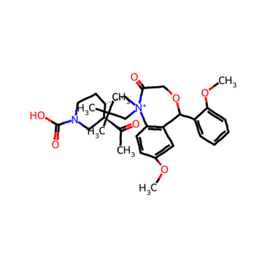 COc1ccc2c(c1)C(c1ccccc1OC)OCC(=O)[N+]2(C[C@H]1CCN(C(=O)O)C[C@@H]1C(C)=O)CC(C)(C)C